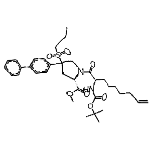 C=CCCCCCC(NC(=O)OC(C)(C)C)C(=O)N1C[C@@](c2ccc(-c3ccccc3)cc2)(S(=O)(=O)CCC)C[C@H]1C(=O)OC